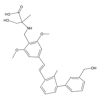 COc1cc(C=Cc2cccc(-c3cccc(CO)c3)c2C)cc(OC)c1CNC(C)(CO)C(=O)O